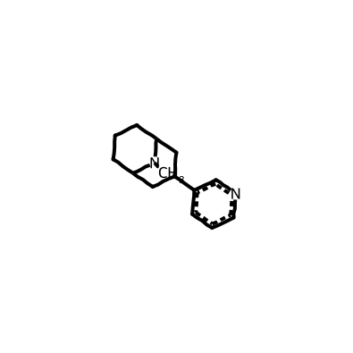 CN1C2CCCC1CC(c1cccnc1)C2